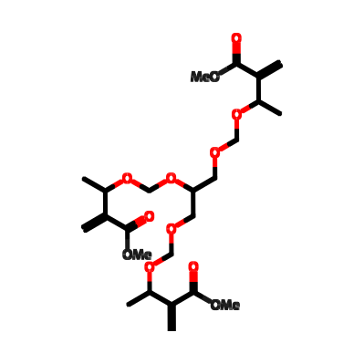 C=C(C(=O)OC)C(C)OCOCC(COCOC(C)C(=C)C(=O)OC)OCOC(C)C(=C)C(=O)OC